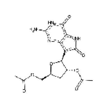 CC(=O)OC[C@@H]1C[C@@H](OC(C)=O)[C@H](n2c(=O)[nH]c3c(=O)[nH]c(N)nc32)O1